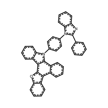 c1ccc(-c2nc3ccccc3n2-c2ccc(-n3c4ccccc4c4c5oc6ccccc6c5c5ccccc5c43)cc2)cc1